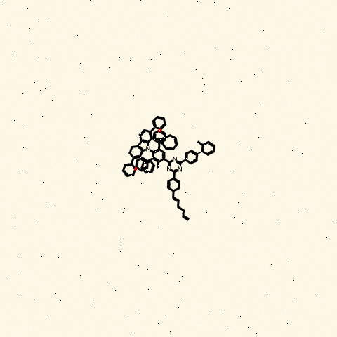 C=CCC/C=C/C1C=CC(c2nc(-c3ccc([C@@H]4C=CC=CC4C)cc3)nc(-c3cc(-c4ccccc4)c(-n4c5c(c6ccc(-c7ccccc7)c(C7C8C=CC=CCC87)c64)CCC(C4=CC=CCC4)=C5c4ccccc4)c(-c4ccccc4)c3C)n2)=CC1